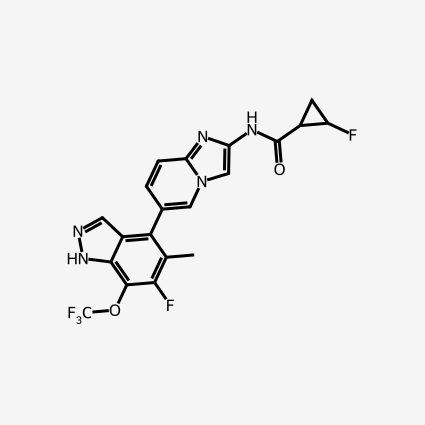 Cc1c(F)c(OC(F)(F)F)c2[nH]ncc2c1-c1ccc2nc(NC(=O)C3CC3F)cn2c1